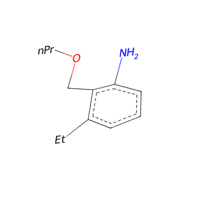 CCCOCc1c(N)cccc1CC